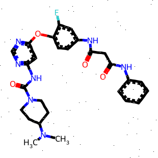 CN(C)C1CCN(C(=O)Nc2cc(Oc3ccc(NC(=O)CC(=O)Nc4ccccc4)cc3F)ncn2)CC1